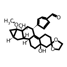 CO[C@@]12C[C@@H]1C[C@H]1[C@@H]3CC[C@@]4(O)CC5(CCC4=C3[C@@H](c3ccc(C=O)cc3)C[C@@]12C)OCCO5